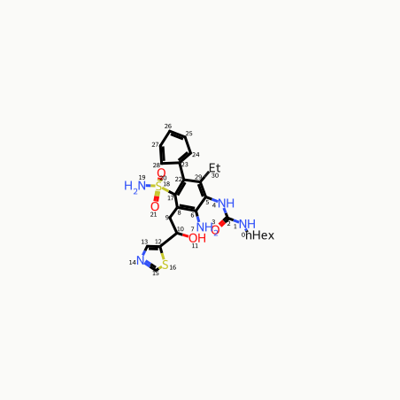 CCCCCCNC(=O)Nc1c(N)c(CC(O)c2cncs2)c(S(N)(=O)=O)c(-c2ccccc2)c1CC